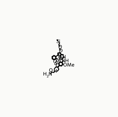 COc1cc(C2CCN(CC(N)=O)CC2)ccc1Nc1ncc2c(OCOCC[Si](C)(C)C)cc(-c3ccccc3NCS(C)(=O)=O)n2n1